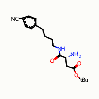 CC(C)(C)OC(=O)C[C@@H](N)C(=O)NCCCCc1ccc(C#N)cc1